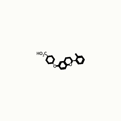 Cc1ccccc1[C@@H]1CCc2cc(O[C@H]3CC[C@@H](C(=O)O)CC3)ccc2O1